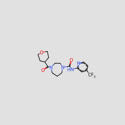 O=C(Nc1cc(C(F)(F)F)ccn1)N1CCCN(C(=O)C2CCOCC2)CC1